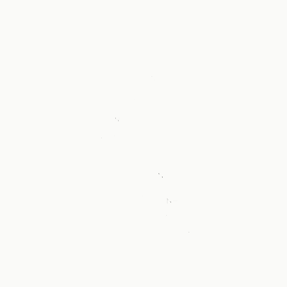 C=C1CCc2cc(/C=C/C(=O)N3CCC(CC4CCCS4)CC3)cnc2N1